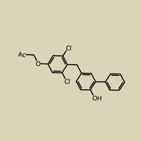 CC(=O)COc1cc(Cl)c(Cc2ccc(O)c(-c3ccccc3)c2)c(Cl)c1